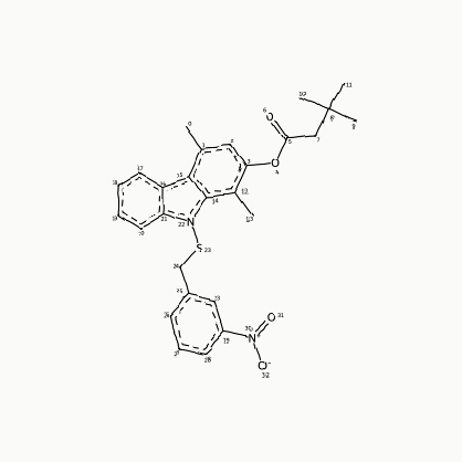 Cc1cc(OC(=O)CC(C)(C)C)c(C)c2c1c1ccccc1n2SCc1cccc([N+](=O)[O-])c1